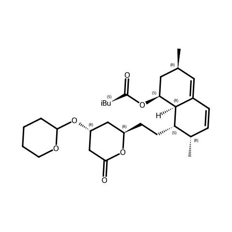 CC[C@H](C)C(=O)O[C@H]1C[C@@H](C)C=C2C=C[C@H](C)[C@H](CC[C@@H]3C[C@@H](OC4CCCCO4)CC(=O)O3)[C@H]21